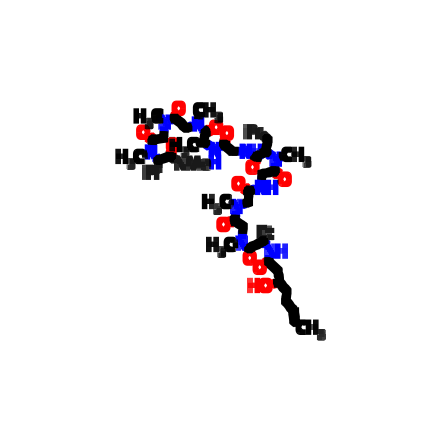 C/C=C/CCC(O)CC(=O)N[C@@H](CC)C(=O)N(C)CC(=O)N(C)CC(=O)NCC(=O)N(C)C(CC(C)C)C(=O)NCC(=O)NC(C)C(=O)N(C)CC(=O)N(C)CC(=O)N(C)C(C(=O)NC)C(C)C